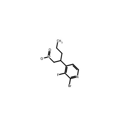 CCCC(C[N+](=O)[O-])c1ccnc(Br)c1F